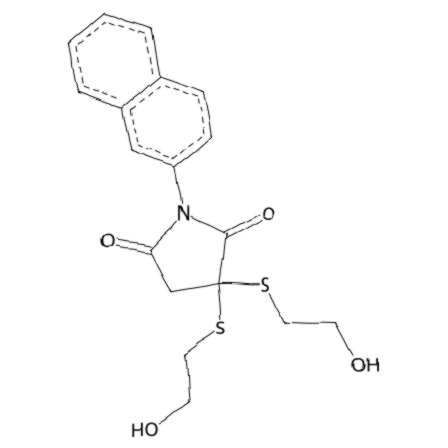 O=C1CC(SCCO)(SCCO)C(=O)N1c1ccc2ccccc2c1